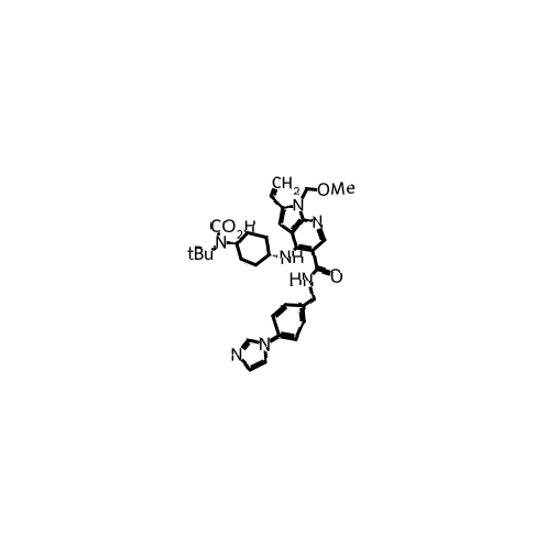 C=Cc1cc2c(N[C@H]3CC[C@H](N(C(=O)O)C(C)(C)C)CC3)c(C(=O)NCc3ccc(-n4ccnc4)cc3)cnc2n1COC